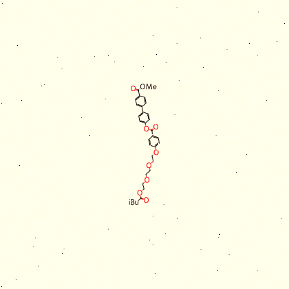 CCC(C)C(=O)OCCOCCOCCOc1ccc(C(=O)Oc2ccc(-c3ccc(C(=O)OC)cc3)cc2)cc1